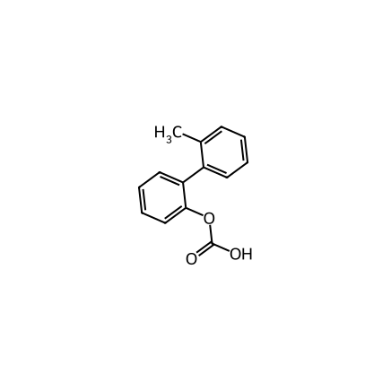 Cc1ccccc1-c1ccccc1OC(=O)O